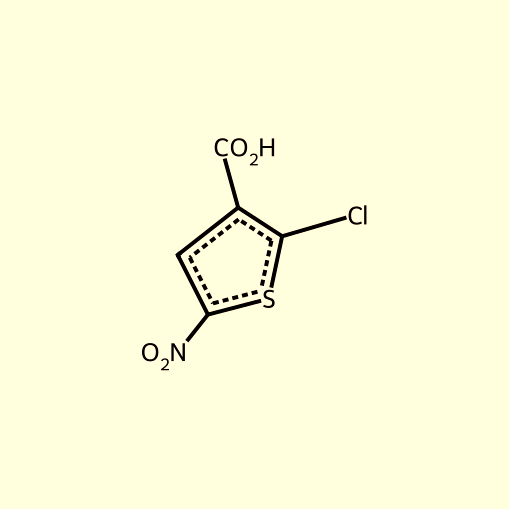 O=C(O)c1cc([N+](=O)[O-])sc1Cl